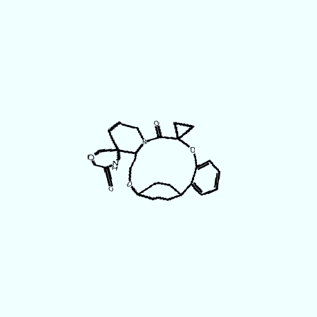 O=C1COCC2(CCCN3C(=O)C4(CC4)Oc4ccccc4C4CCC(CC4)OCC32)N1